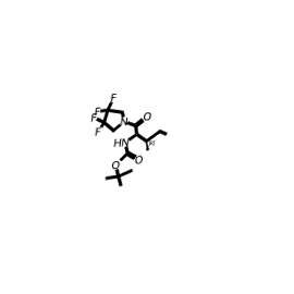 CC[C@@H](C)C(NC(=O)OC(C)(C)C)C(=O)N1CC(F)(F)C(F)(F)C1